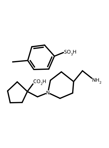 Cc1ccc(S(=O)(=O)O)cc1.NCC1CCN(CC2(C(=O)O)CCCC2)CC1